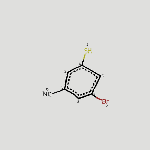 N#Cc1cc(S)cc(Br)c1